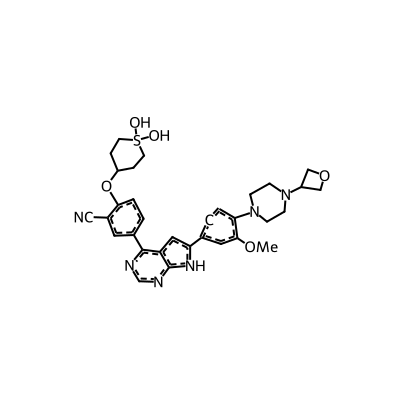 COc1cc(-c2cc3c(-c4ccc(OC5CCS(O)(O)CC5)c(C#N)c4)ncnc3[nH]2)ccc1N1CCN(C2COC2)CC1